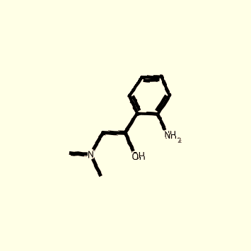 CN(C)CC(O)c1ccccc1N